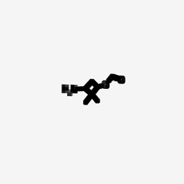 CC1(C)C(N)CC1OC=O